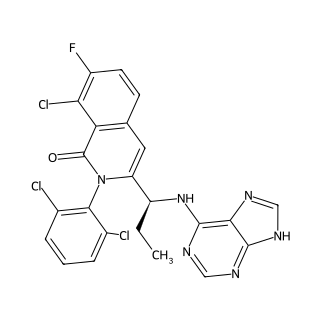 CC[C@H](Nc1ncnc2[nH]cnc12)c1cc2ccc(F)c(Cl)c2c(=O)n1-c1c(Cl)cccc1Cl